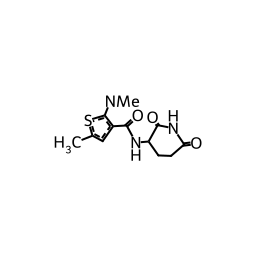 CNc1sc(C)cc1C(=O)NC1CCC(=O)NC1=O